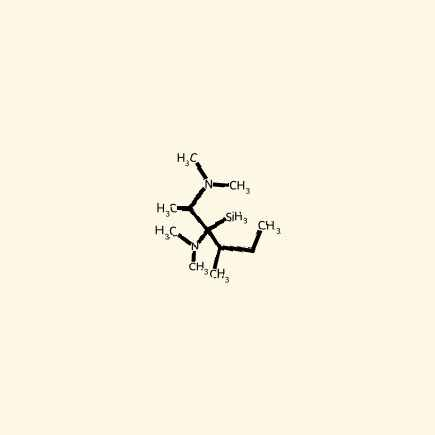 CCC(C)C([SiH3])(C(C)N(C)C)N(C)C